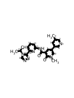 Cc1cncc(-c2cc(C(=O)Nc3cccc(-c4nncn4C(C)C)n3)c(=O)n(C)c2)c1